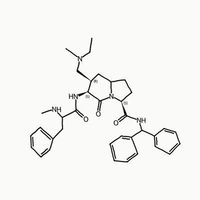 CCN(C)C[C@H]1CC2CC[C@@H](C(=O)NC(c3ccccc3)c3ccccc3)N2C(=O)[C@H]1NC(=O)C(Cc1ccccc1)NC